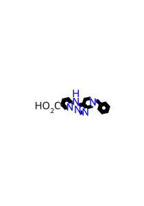 O=C(O)c1ccc(Nc2ncnc3c2CCN(Cc2ccccc2)C3)nc1